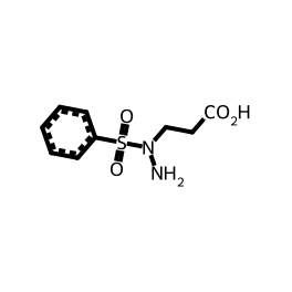 NN(CCC(=O)O)S(=O)(=O)c1ccccc1